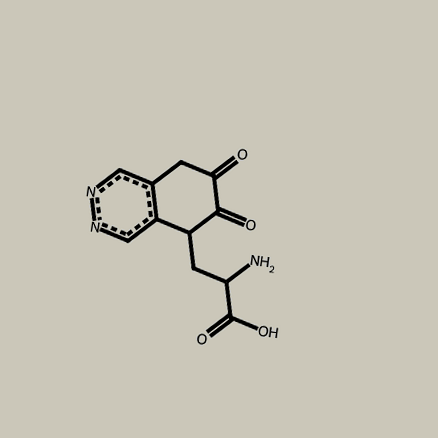 NC(CC1C(=O)C(=O)Cc2cnncc21)C(=O)O